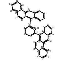 c1cc(-c2c3ccccc3nc3c2ccc2cccnc23)nc(-c2c3ccccc3nc3c2ccc2cccnc23)c1